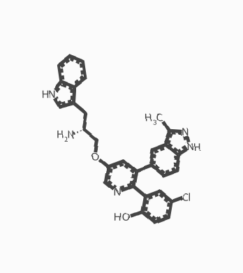 Cc1n[nH]c2ccc(-c3cc(OC[C@H](N)Cc4c[nH]c5ccccc45)cnc3-c3cc(Cl)ccc3O)cc12